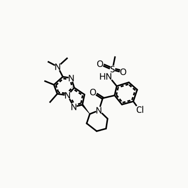 Cc1c(N(C)C)nc2cc([C@@H]3CCCCN3C(=O)c3cc(Cl)ccc3NS(C)(=O)=O)nn2c1C